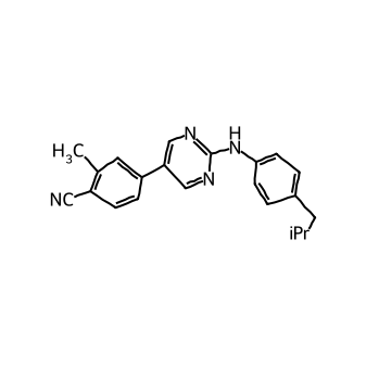 Cc1cc(-c2cnc(Nc3ccc(CC(C)C)cc3)nc2)ccc1C#N